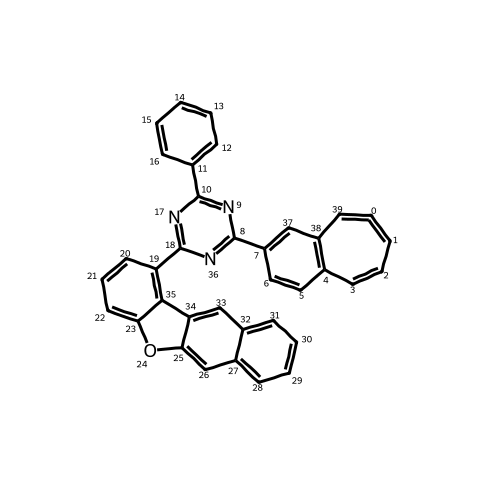 C1=CC=Cc2ccc(-c3nc(-c4ccccc4)nc(-c4cccc5oc6cc7ccccc7cc6c45)n3)cc2C=1